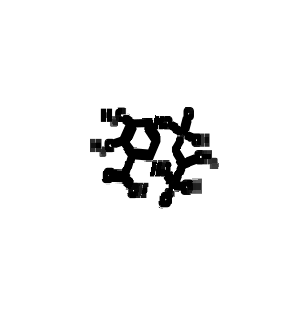 CC(CP(=O)(O)O)P(=O)(O)O.Cc1cccc(C(=O)O)c1C